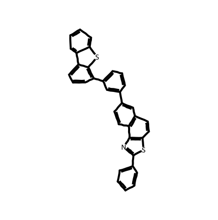 c1ccc(-c2nc3c(ccc4cc(-c5cccc(-c6cccc7c6sc6ccccc67)c5)ccc43)s2)cc1